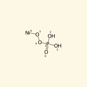 O=P(O)(O)O[O][Ni]